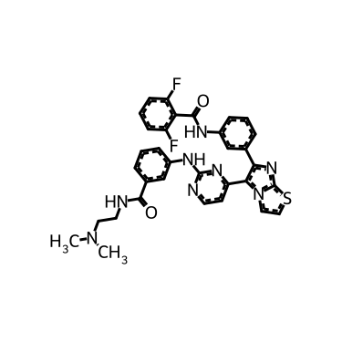 CN(C)CCNC(=O)c1cccc(Nc2nccc(-c3c(-c4cccc(NC(=O)c5c(F)cccc5F)c4)nc4sccn34)n2)c1